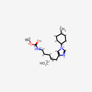 CC1CCC(n2cnc(C[C@@H](CCCNC(=O)OC(C)(C)C)C(=O)O)c2)CC1